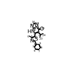 Cc1nc(-c2ccccc2)sc1-c1[nH]c2ncnn2c(=O)c1C(C)C